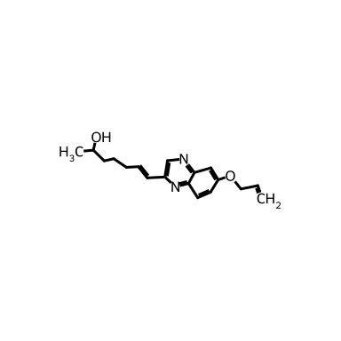 C=CCOc1ccc2nc(C=CCCCC(C)O)cnc2c1